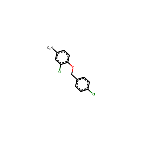 O=[N+]([O-])c1ccc(OCc2ccc(Cl)cc2)c(Cl)c1